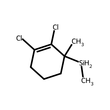 C[SiH2]C1(C)CCCC(Cl)=C1Cl